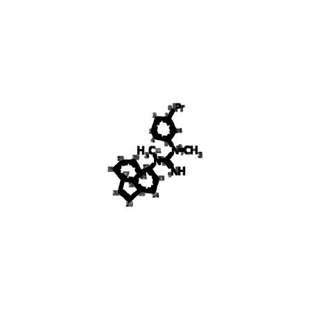 CC(C)c1cccc(N(C)C(=N)N(C)c2ccc3c4c(cccc24)C=C3)c1